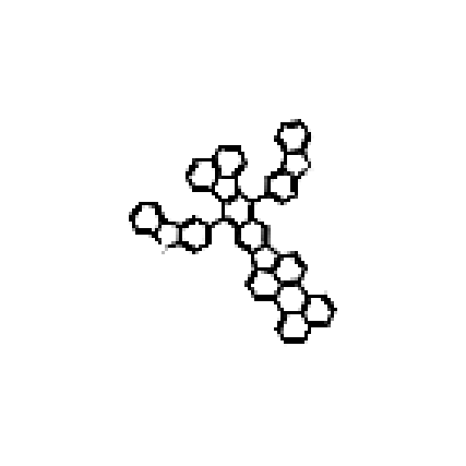 c1ccc2c(c1)sc1ccc(-c3c4cc5c(cc4c(-c4ccc6sc7ccccc7c6c4)c4c6cccc7cccc(c34)c76)c3ccc4c6cccc7cccc(c8ccc5c3c84)c76)cc12